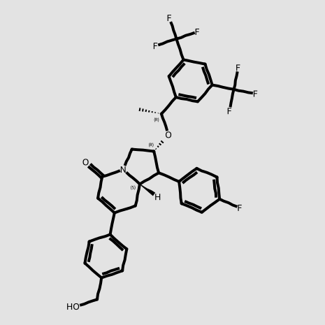 C[C@@H](O[C@H]1CN2C(=O)C=C(c3ccc(CO)cc3)C[C@H]2C1c1ccc(F)cc1)c1cc(C(F)(F)F)cc(C(F)(F)F)c1